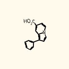 O=C(O)c1ccn2ccc(-c3ccccc3)c2c1